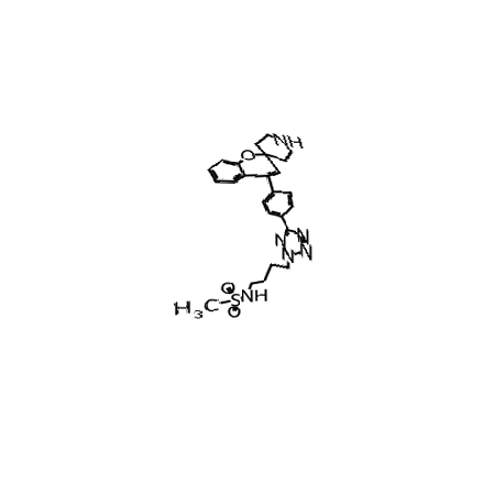 CS(=O)(=O)NCCCCn1nnc(-c2ccc(C3=CC4(CCNCC4)Oc4ccccc43)cc2)n1